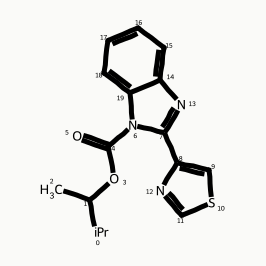 CC(C)C(C)OC(=O)n1c(-c2cscn2)nc2ccccc21